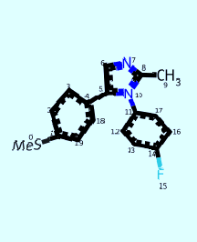 CSc1ccc(-c2cnc(C)n2-c2ccc(F)cc2)cc1